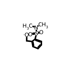 CN(C)S(=O)(=O)c1ccccc1C[O]